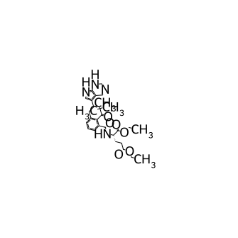 CCOC(=O)CC[C@H](NC(=O)c1cccc(CCc2c[nH]c3c2C=NCN3)c1C(=O)C(C)(C)C)C(=O)OCC